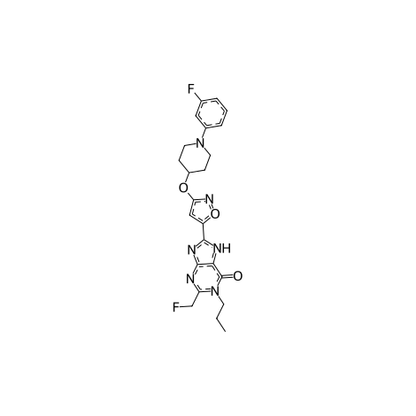 CCCn1c(CF)nc2nc(-c3cc(OC4CCN(c5cccc(F)c5)CC4)no3)[nH]c2c1=O